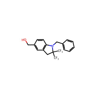 OCc1ccc2c(c1)CC(C(F)(F)F)(C(F)(F)F)N2Cc1ccccc1